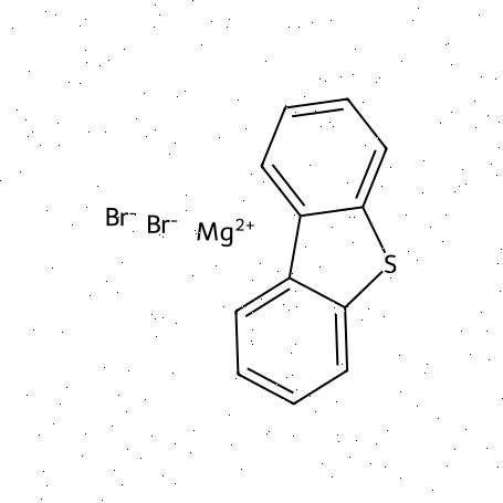 [Br-].[Br-].[Mg+2].c1ccc2c(c1)sc1ccccc12